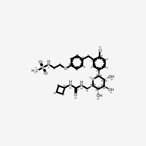 CS(=O)(=O)NCCOc1ccc(Cc2cc([C@@H]3O[C@H](CNC(=O)NC4CCC4)[C@@H](O)[C@H](O)[C@H]3O)ccc2Cl)cc1